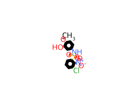 COc1ccc(NS(=O)(=O)c2cccc(Cl)c2[N+](=O)[O-])cc1O